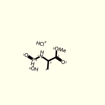 COC(=O)C(C)N[PH](=O)O.Cl